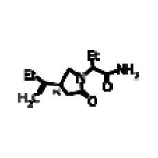 C=C(CC)[C@@H]1CC(=O)N(C(CC)C(N)=O)C1